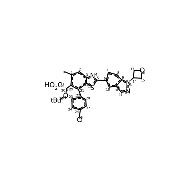 Cc1cc2nc(-c3ccc4c(cnn4C4COC4)c3)sc2c(-c2ccc(Cl)cc2)c1[C@H](OC(C)(C)C)C(=O)O